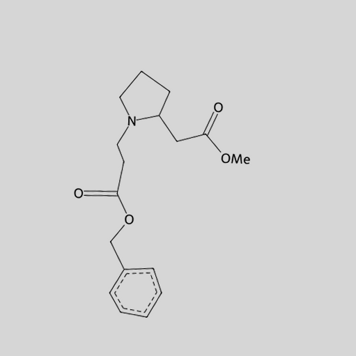 COC(=O)CC1CCCN1CCC(=O)OCc1ccccc1